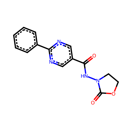 O=C(NN1CCOC1=O)c1cnc(-c2ccccc2)nc1